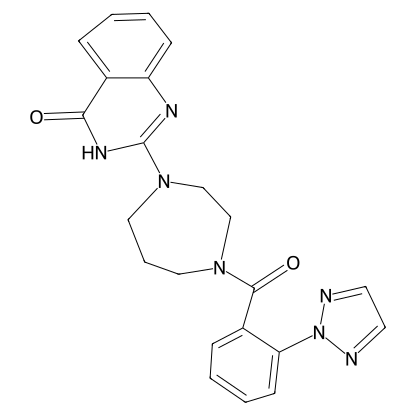 O=C(c1ccccc1-n1nccn1)N1CCCN(c2nc3ccccc3c(=O)[nH]2)CC1